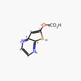 O=C(O)Oc1cc2nccnc2s1